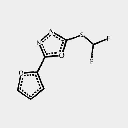 FC(F)Sc1nnc(-c2ccco2)o1